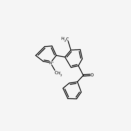 Cc1ccc(C(=O)c2ccccc2)cc1-c1cccc[n+]1C